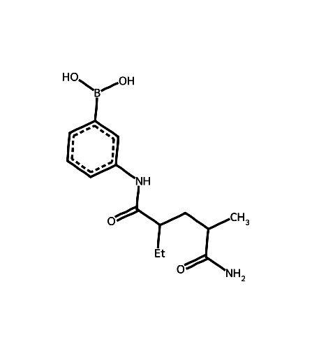 CCC(CC(C)C(N)=O)C(=O)Nc1cccc(B(O)O)c1